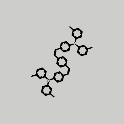 Cc1cccc(N(c2ccc(/C=C\c3ccc(/C=C\c4ccc(N(c5cccc(C)c5)c5cccc(C)c5)cc4)cc3)cc2)c2cccc(C)c2)c1